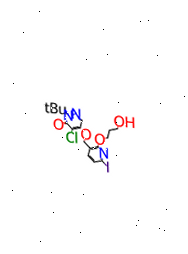 CC(C)(C)n1ncc(OCc2ccc(I)nc2OCCCO)c(Cl)c1=O